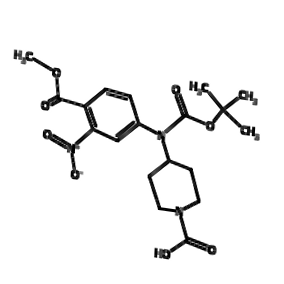 COC(=O)c1ccc(N(C(=O)OC(C)(C)C)C2CCN(C(=O)O)CC2)cc1[N+](=O)[O-]